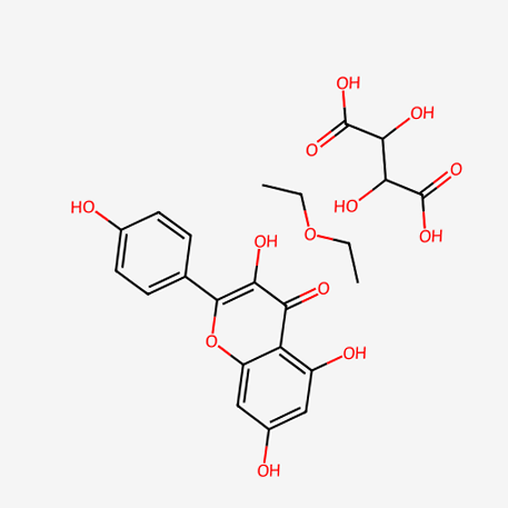 CCOCC.O=C(O)C(O)C(O)C(=O)O.O=c1c(O)c(-c2ccc(O)cc2)oc2cc(O)cc(O)c12